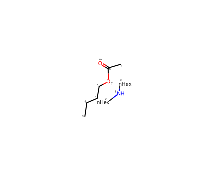 CCCCCCNCCCCCC.CCCCOC(C)=O